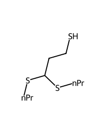 CCCSC(CCS)SCCC